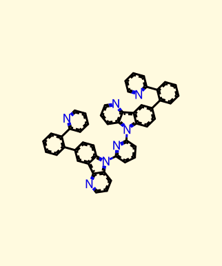 c1ccc(-c2ccccc2-c2ccc3c(c2)c2ncccc2n3-c2cccc(-n3c4ccc(-c5ccccc5-c5ccccn5)cc4c4ncccc43)n2)nc1